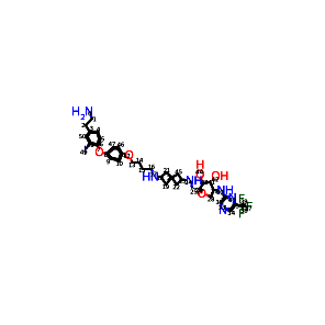 NCCc1ccc(Oc2ccc(OCCCCNC3CC4(C3)CC(NC[C@H]3OC[C@H](Nc5cncc(C(F)(F)F)n5)[C@@H](O)[C@H]3O)C4)cc2)c(I)c1